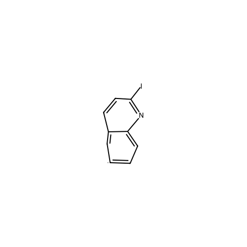 Ic1ccc2c[c]ccc2n1